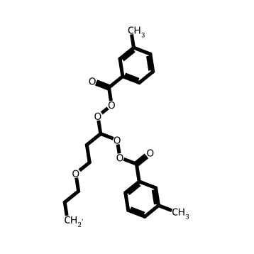 [CH2]CCOCC[C](OOC(=O)c1cccc(C)c1)OOC(=O)c1cccc(C)c1